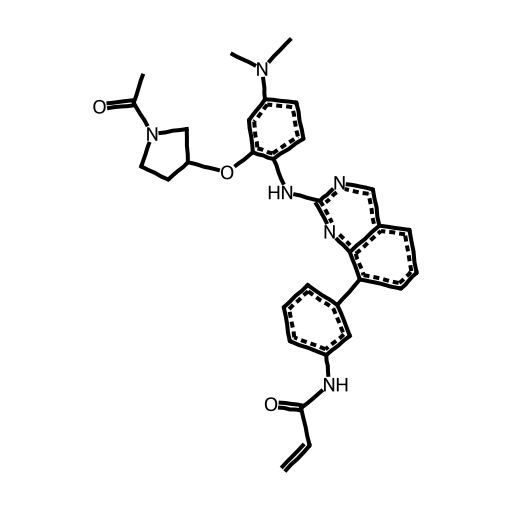 C=CC(=O)Nc1cccc(-c2cccc3cnc(Nc4ccc(N(C)C)cc4OC4CCN(C(C)=O)C4)nc23)c1